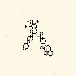 O=C(C[C@H](Cc1cc(Br)c(O)c(Br)c1)C(=O)N1CCN(C2CCOCC2)CC1)N1CCC(N2CCc3ccccc3NC2=O)CC1